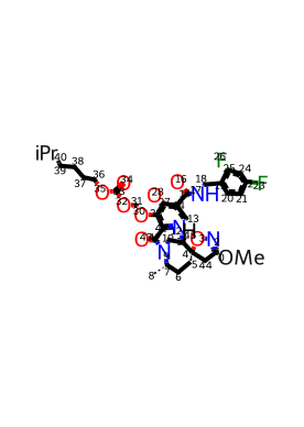 COC1=NO[C@@]2(CC[C@H](C)N3C[C@H]2n2cc(C(=O)NCc4ccc(F)cc4F)c(=O)c(OCOC(=O)OCCCCC(C)C)c2C3=O)C1